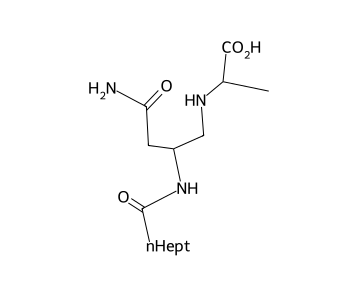 CCCCCCCC(=O)NC(CNC(C)C(=O)O)CC(N)=O